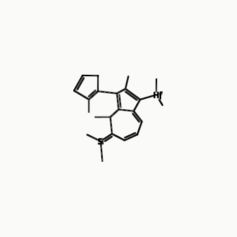 CC1=C(C2=C3C(=CC=CC(=[Si](C)C)C3C)[C]([Hf]([CH3])[CH3])=C2C)CC=C1